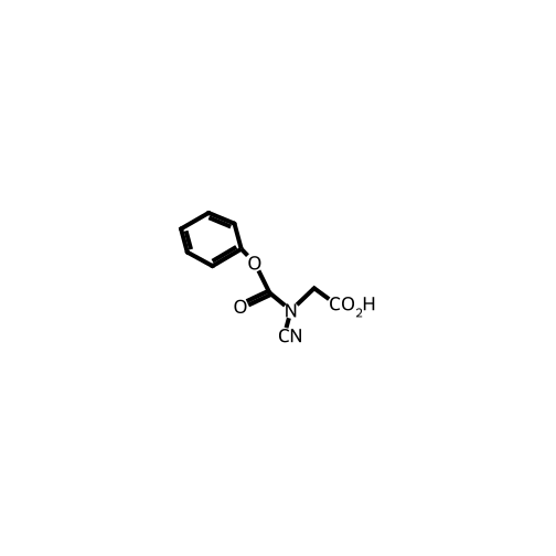 N#CN(CC(=O)O)C(=O)Oc1ccccc1